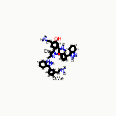 CCc1c(C)nn(C)c1-c1cc(CCN(C)C)c(O)cc1C(Cc1cccc(-c2c3c(nn2C)CCCC3)c1)N(C)C.COc1ccc(-c2c3c(nn2C)CCCC3)cc1CCN(C)C